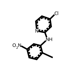 Cc1ccc([N+](=O)[O-])cc1Nc1cc(Cl)ccn1